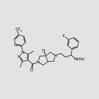 CC(=O)NC(CCN1CC2CN(C(=O)c3c(C)nn(-c4ccc(C(F)(F)F)cn4)c3C)C[C@@H]2C1)c1cccc(F)c1